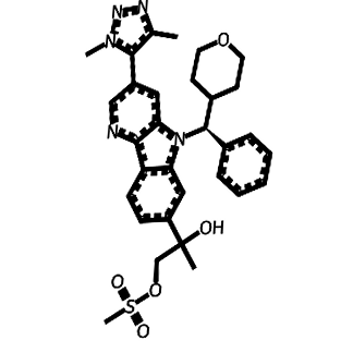 Cc1nnn(C)c1-c1cnc2c3ccc(C(C)(O)COS(C)(=O)=O)cc3n([C@H](c3ccccc3)C3CCOCC3)c2c1